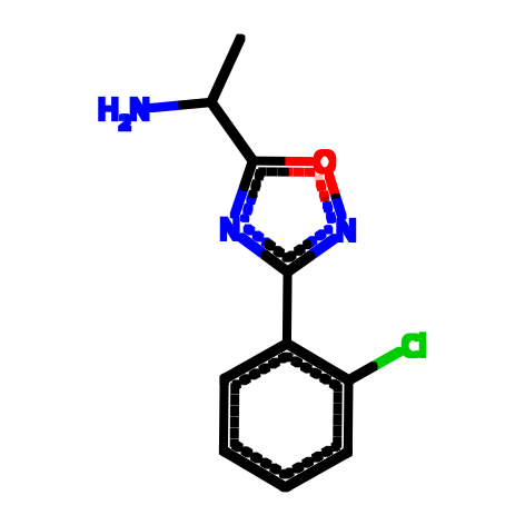 CC(N)c1nc(-c2ccccc2Cl)no1